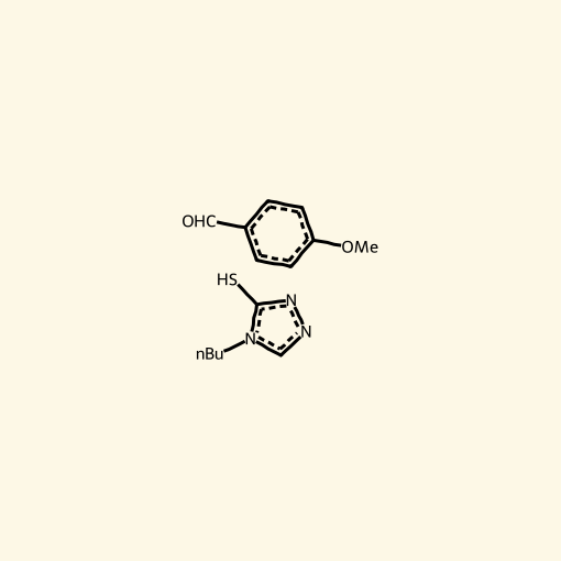 CCCCn1cnnc1S.COc1ccc(C=O)cc1